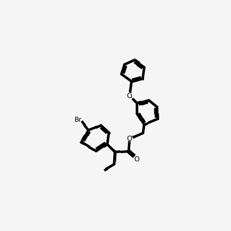 CCC(C(=O)OCc1cccc(Oc2ccccc2)c1)c1ccc(Br)cc1